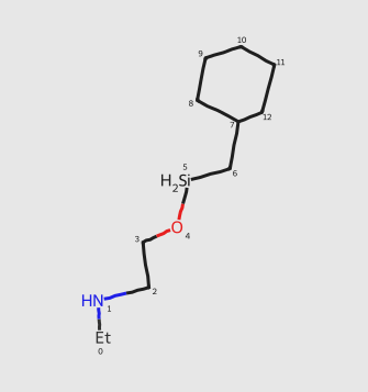 CCNCCO[SiH2]CC1CCCCC1